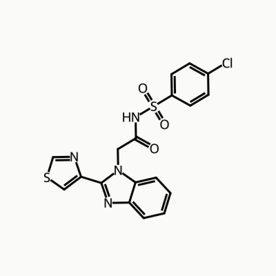 O=C(Cn1c(-c2cscn2)nc2ccccc21)NS(=O)(=O)c1ccc(Cl)cc1